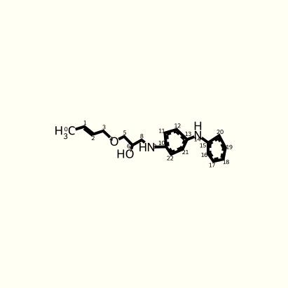 CC=CCOCC(O)CNc1ccc(Nc2ccccc2)cc1